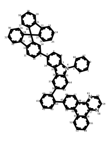 c1ccc(-n2c3ccc(-c4ccc5c(c4)C4(c6ccccc6-c6ccccc64)c4ccccc4-5)cc3c3cc(-c4ccccc4-c4ccc5c(c4)c4ccccc4c4nccnc54)ccc32)cc1